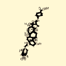 COC(=O)c1ccc(SCC2CC[C@]3(C)[C@H]4CC[C@@H]5[C@H]6[C@H](C(C)C)CC[C@]6(NCCN6C[C@@H]7C[C@H]6CS7(=O)=O)CC[C@@]5(C)[C@]4(C)CC[C@H]3C2(C)C)cc1